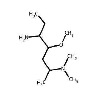 CCC(N)C(CC(C)N(C)C)OC